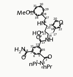 CCCN(CCC)C(=O)c1cc(C(N)=O)cc(C(=O)N[C@@H](Cc2ccoc2)[C@H](O)CNCc2cccc(OC)c2)c1